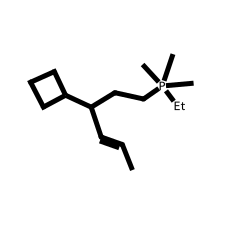 CC=CC(CCP(C)(C)(C)CC)C1CCC1